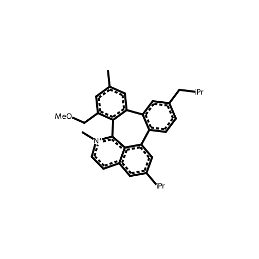 COCc1cc(C)cc2c1-c1c3c(cc(C(C)C)cc3cc[n+]1C)-c1ccc(CC(C)C)cc1-2